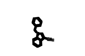 CC(=O)Oc1cn(Cc2ccccc2)c2ccccc12